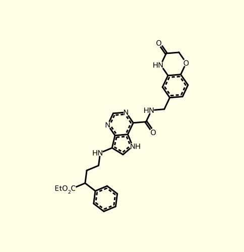 CCOC(=O)C(CCNc1c[nH]c2c(C(=O)NCc3ccc4c(c3)NC(=O)CO4)ncnc12)c1ccccc1